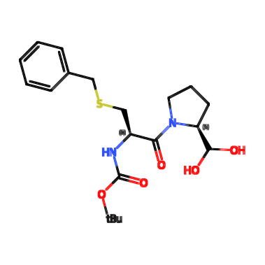 CC(C)(C)OC(=O)N[C@@H](CSCc1ccccc1)C(=O)N1CCC[C@H]1C(O)O